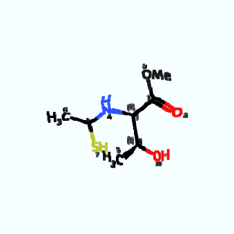 COC(=O)[C@H](NC(C)S)[C@H](C)O